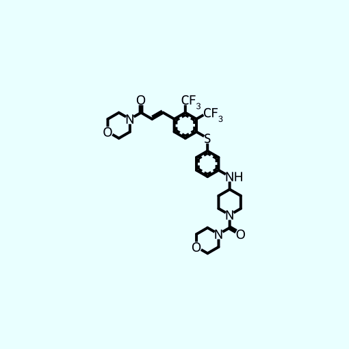 O=C(/C=C/c1ccc(Sc2cccc(NC3CCN(C(=O)N4CCOCC4)CC3)c2)c(C(F)(F)F)c1C(F)(F)F)N1CCOCC1